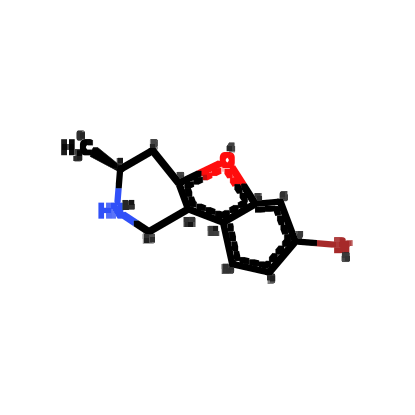 C[C@H]1Cc2oc3cc(Br)ccc3c2CN1